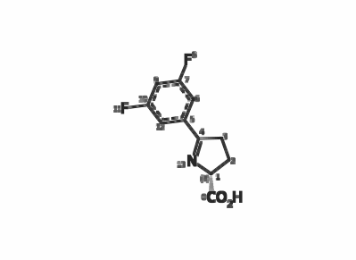 O=C(O)[C@H]1CCC(c2cc(F)cc(F)c2)=N1